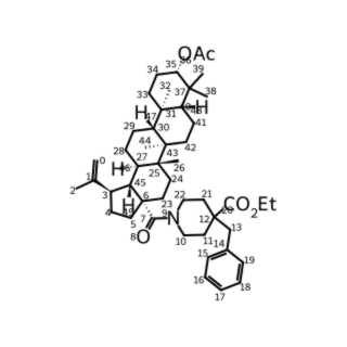 C=C(C)[C@@H]1CC[C@]2(C(=O)N3CCC(Cc4ccccc4)(C(=O)OCC)CC3)CC[C@]3(C)[C@H](CC[C@@H]4[C@@]5(C)CC[C@H](OC(C)=O)C(C)(C)[C@@H]5CC[C@]43C)[C@@H]12